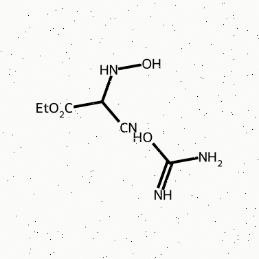 CCOC(=O)C(C#N)NO.N=C(N)O